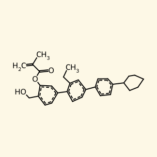 C=C(C)C(=O)Oc1cc(-c2ccc(-c3ccc(C4CCCCC4)cc3)cc2CC)ccc1CO